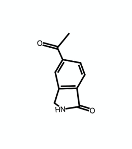 CC(=O)c1ccc2c(c1)CNC2=O